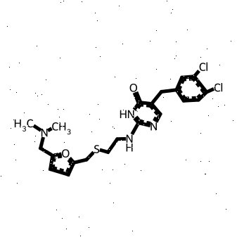 CN(C)Cc1ccc(CSCCNc2ncc(Cc3ccc(Cl)c(Cl)c3)c(=O)[nH]2)o1